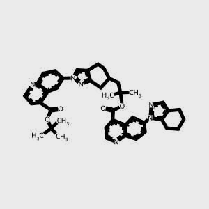 CC(C)(C)OC(=O)c1ccnc2ccc(-n3cc4c(n3)CC(CC(C)(C)OC(=O)c3ccnc5ccc(-n6ncc7c6CCCC7)cc35)CC4)cc12